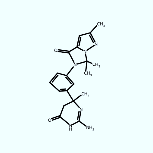 Cc1cc2n(n1)C(C)(C)N(c1cccc(C3(C)CC(=O)NC(N)=N3)c1)C2=O